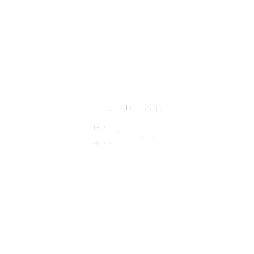 CC1(C(=O)O)CCC(C(=O)O)C1(C)C.CCO